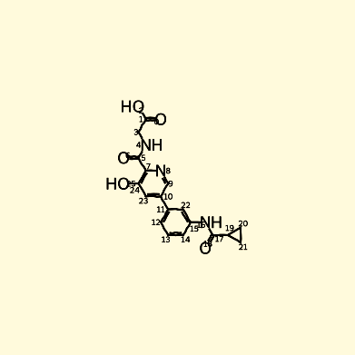 O=C(O)CNC(=O)c1ncc(-c2cccc(NC(=O)C3CC3)c2)cc1O